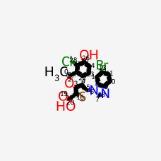 C[C@@H](Oc1cc(-n2cnc3ccc(Br)cc32)sc1C(=O)O)c1cccc(O)c1Cl